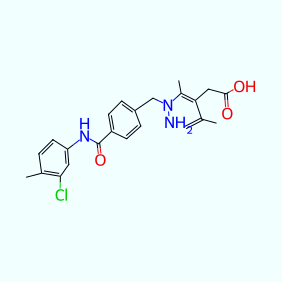 C=C(C)/C(CC(=O)O)=C(/C)N(N)Cc1ccc(C(=O)Nc2ccc(C)c(Cl)c2)cc1